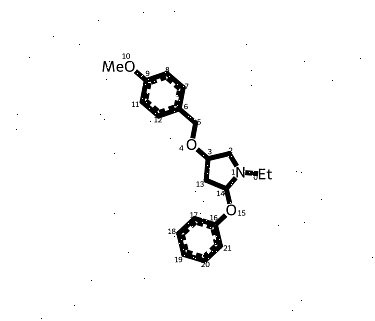 CCN1CC(OCc2ccc(OC)cc2)CC1Oc1ccccc1